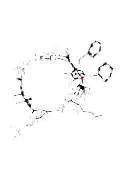 CCCCC[C@H]1CN2CCNC(=O)c3ccc(c(C)c3C)C(=O)NCCN(CCNC(=O)c3ccc(c(C)c3C)C(=O)N[C@@H](CCCOS(C)(=O)=O)C2)CCNC(=O)c2ccc(c(OCc3ccccc3)c2OCc2ccccc2)C(=O)N1